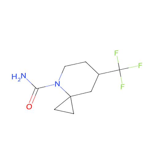 NC(=O)N1CCC(C(F)(F)F)CC12CC2